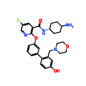 N[C@H]1CC[C@H](NC(=O)c2cc(F)cnc2Oc2cccc(-c3ccc(O)cc3CN3CCOCC3)c2)CC1